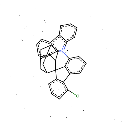 Clc1cccc2c1-c1cccc(-n3c4ccccc4c4ccccc43)c1C21C2CC3CC(C2)CC1C3